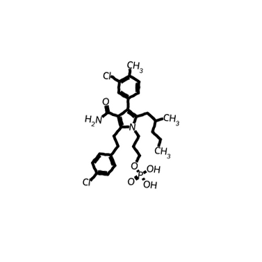 CCCC(C)Cc1c(-c2ccc(C)c(Cl)c2)c(C(N)=O)c(CCc2ccc(Cl)cc2)n1CCCOP(=O)(O)O